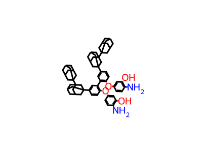 Nc1ccc(Oc2ccc(C34CC5CC(C3)CC(C36CC7CC(CC(C7)C3)C6)(C5)C4)cc2-c2cc(C34CC5CC(C3)CC(C36CC7CC(CC(C7)C3)C6)(C5)C4)ccc2Oc2ccc(N)c(O)c2)cc1O